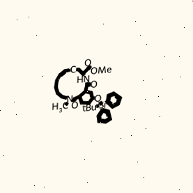 COC(=O)C1CCC=CCCCCN(C)C(=O)C2CCC(O[Si](c3ccccc3)(c3ccccc3)C(C)(C)C)CC2C(=O)N1